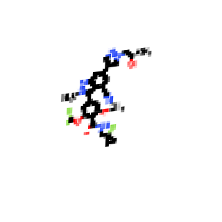 COc1cc(-c2c3c(C#N)cc(-c4cnn(C[C@H](C)O)c4)cc3nn2C)cc(OC(F)F)c1C(=O)NCC1(F)CC1